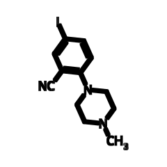 CN1CCN(c2ccc(I)cc2C#N)CC1